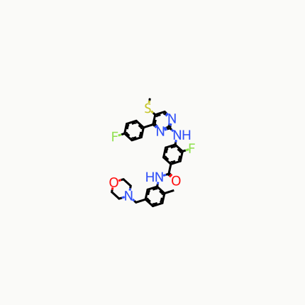 CSc1cnc(Nc2ccc(C(=O)Nc3cc(CN4CCOCC4)ccc3C)cc2F)nc1-c1ccc(F)cc1